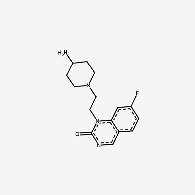 NC1CCN(CCn2c(=O)ncc3ccc(F)cc32)CC1